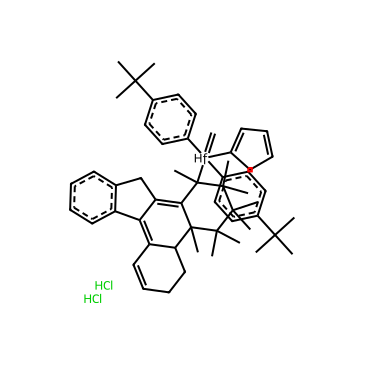 Cl.Cl.[CH2]=[Hf]([C]1=CC=CC1)([c]1ccc(C(C)(C)C)cc1)([c]1ccc(C(C)(C)C)cc1)[C]1(C)C2=C3Cc4ccccc4C3=C3C=CCCC3C2(C)C(C)(C)C(C)(C)C1(C)C